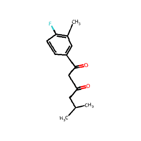 Cc1cc(C(=O)CC(=O)CC(C)C)ccc1F